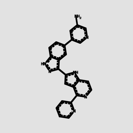 Nc1cncc(-c2ccc3[nH]nc(-c4cc5c(-c6ccccn6)nccc5[nH]4)c3c2)c1